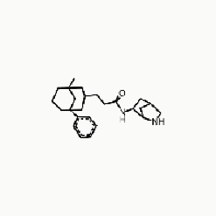 C[C@@]12CCC[C@@](c3ccccc3)(CC(CCC(=O)NC3CC4CNC3C4)C1)C2